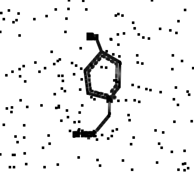 CCCCCCCC[n+]1ccc(C(C)CC)cc1